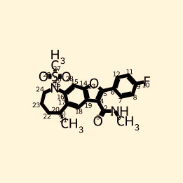 CNC(=O)c1c(-c2ccc(F)cc2)oc2cc3c(cc12)[C@@H](C)CCCN3S(C)(=O)=O